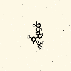 Cc1cc(Cl)cc(-c2ccnc3cc(Cn4c(=O)ccn(C)c4=O)sc23)c1OCC1(C(F)F)CNC1